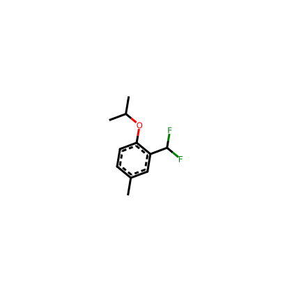 Cc1ccc(OC(C)C)c(C(F)F)c1